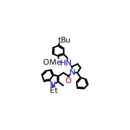 CCn1c(C)c(CC(=O)N2C(NCc3cc(C(C)(C)C)ccc3OC)CCC2c2ccccc2)c2ccccc21